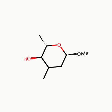 CO[C@H]1CC(C)[C@@H](O)[C@H](C)O1